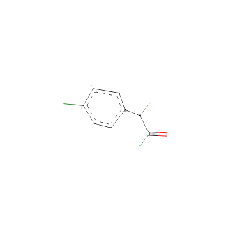 O=C(Cl)C(Br)c1ccc(Br)cc1